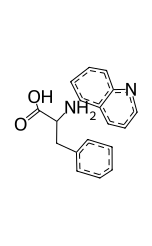 NC(Cc1ccccc1)C(=O)O.c1ccc2ncccc2c1